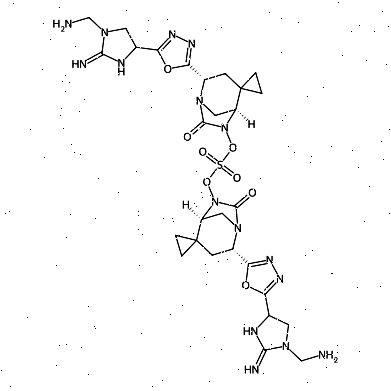 N=C1NC(c2nnc([C@@H]3CC4(CC4)[C@@H]4CN3C(=O)N4OS(=O)(=O)ON3C(=O)N4C[C@H]3C3(CC3)C[C@H]4c3nnc(C4CN(CN)C(=N)N4)o3)o2)CN1CN